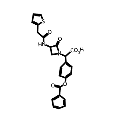 O=C(Cc1cccs1)NC1CN(C(C(=O)O)c2ccc(OC(=O)c3ccccc3)cc2)C1=O